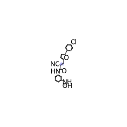 N#C/C(=C\c1ccc(-c2ccc(Cl)cc2)o1)C(=O)Nc1cccc(NO)c1